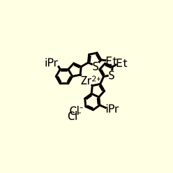 CCc1ccc(C2=Cc3c(C(C)C)cccc3[CH]2[Zr+2][CH]2C(c3ccc(CC)s3)=Cc3c(C(C)C)cccc32)s1.[Cl-].[Cl-]